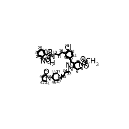 CS(=O)(=O)N1CCc2c(c(-c3ccc(Cl)c(CCCNS(=O)(=O)c4ccccc4[N+](=O)[O-])c3)nn2CCCN2CCC(N3CCCC3=O)CC2)C1